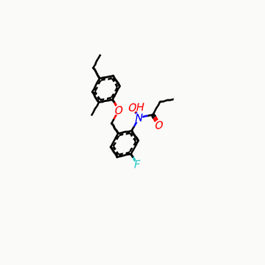 CCC(=O)N(O)c1cc(F)ccc1COc1ccc(CC)cc1C